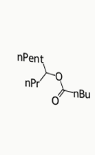 CCCCCC(CCC)OC(=O)CCCC